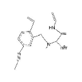 C=CNC(=C)C(CCC)N(C)Cc1cc(C#CC)ccc1C=C